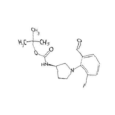 CC(C)(C)OC(=O)N[C@@H]1CCN(c2c(F)cccc2C=O)C1